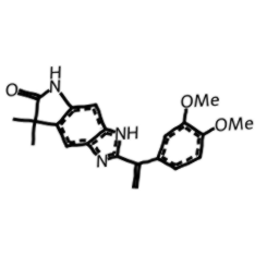 C=C(c1ccc(OC)c(OC)c1)c1nc2cc3c(cc2[nH]1)NC(=O)C3(C)C